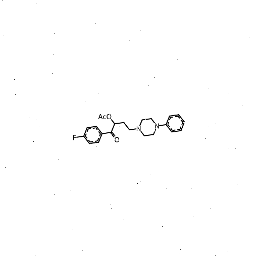 CC(=O)OC(CCN1CCN(c2ccccc2)CC1)C(=O)c1ccc(F)cc1